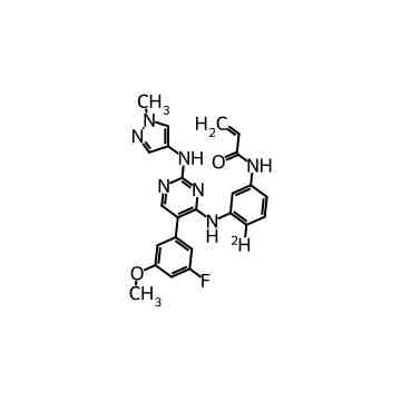 [2H]c1ccc(NC(=O)C=C)cc1Nc1nc(Nc2cnn(C)c2)ncc1-c1cc(F)cc(OC)c1